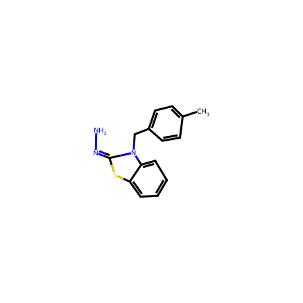 Cc1ccc(Cn2c(=NN)sc3ccccc32)cc1